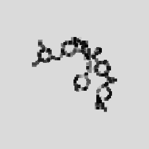 CN1CCC(Nc2ccc(C(=O)Nc3n[nH]c4ccc(Cc5cc(F)cc(F)c5)cc34)c(NC3CCOCC3)c2)CC1